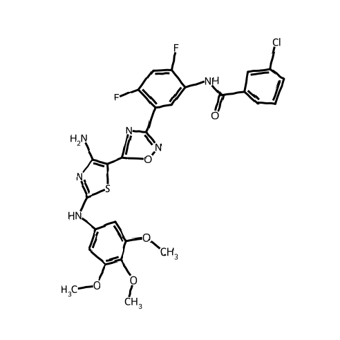 COc1cc(Nc2nc(N)c(-c3nc(-c4cc(NC(=O)c5cccc(Cl)c5)c(F)cc4F)no3)s2)cc(OC)c1OC